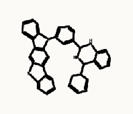 C1=CCC(C2NC(c3cccc(-n4c5ccccc5c5cc6sc7ccccc7c6cc54)c3)Nc3ccccc32)C=C1